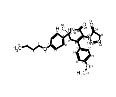 CCCCOc1ccc([C@]2(C)CC(c3ccc(OC)cc3)=C(N3N=NCC3=O)C(=O)N2)cc1